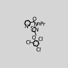 CCCN(C(=O)c1cccnc1)c1nc(COc2c(Cl)cc(Cl)cc2Cl)cs1